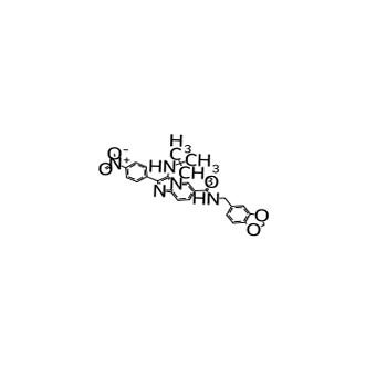 CC(C)(C)Nc1c(-c2ccc([N+](=O)[O-])cc2)nc2ccc(C(=O)NCc3ccc4c(c3)OCO4)cn12